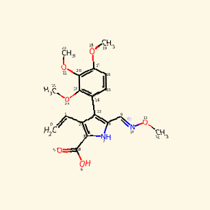 C=Cc1c(C(=O)O)[nH]c(/C=N/OC)c1-c1ccc(OC)c(OC)c1OC